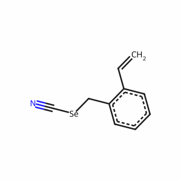 C=Cc1ccccc1C[Se]C#N